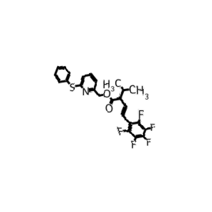 CC(C)C(/C=C/c1c(F)c(F)c(F)c(F)c1F)C(=O)OCc1cccc(Sc2ccccc2)n1